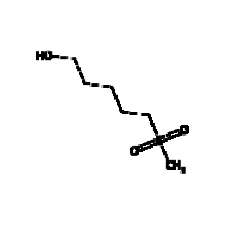 CS(=O)(=O)CCCCCO